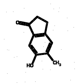 Cc1cc2c(cc1O)C(=O)CC2